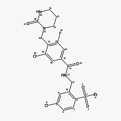 CCS(=O)(=O)c1ccc(Cl)cc1CNC(=O)c1cc(F)c(CN2CCCNC2=O)c(Cl)c1